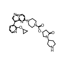 O=C(O[C@@H]1CC(=O)N(C2CCNCC2)C1)N1CCN(c2ccn3ncc(-c4cccnc4OC4CC4)c3n2)CC1